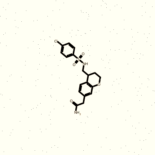 NC(=O)Cc1ccc2c(c1)OCCC2CNS(=O)(=O)c1ccc(Cl)cc1